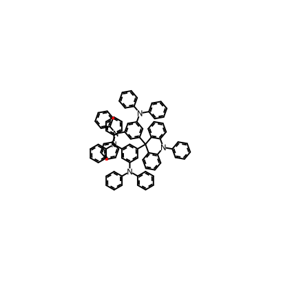 c1ccc(N(c2ccccc2)c2cc(N(c3ccccc3)c3ccccc3)cc(C3(c4cc(N(c5ccccc5)c5ccccc5)cc(N(c5ccccc5)c5ccccc5)c4)c4ccccc4N(c4ccccc4)c4ccccc43)c2)cc1